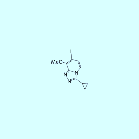 COc1c(I)ccn2c(C3CC3)nnc12